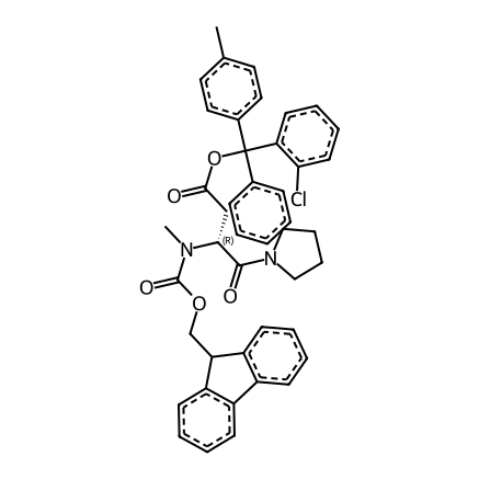 Cc1ccc(C(OC(=O)C[C@H](C(=O)N2CCCC2)N(C)C(=O)OCC2c3ccccc3-c3ccccc32)(c2ccccc2)c2ccccc2Cl)cc1